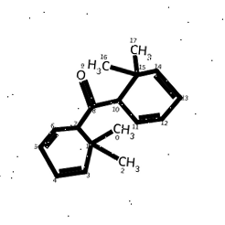 CC1(C)C=CC=CC1C(=O)C1C=CC=CC1(C)C